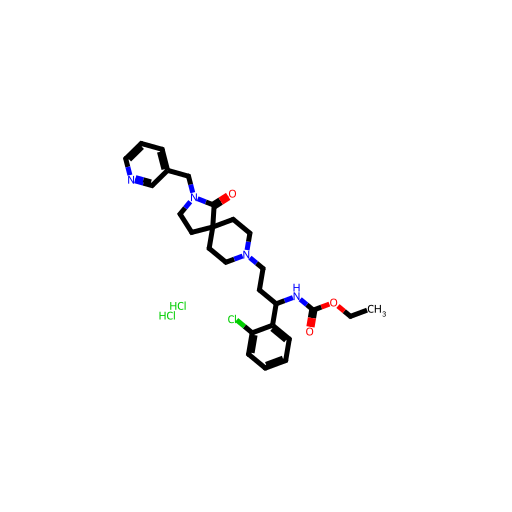 CCOC(=O)NC(CCN1CCC2(CC1)CCN(Cc1cccnc1)C2=O)c1ccccc1Cl.Cl.Cl